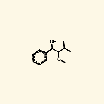 COC(C(C)C)C(O)c1ccccc1